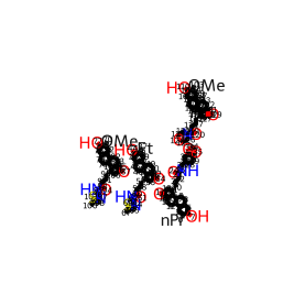 CCCc1cc2c(cc1O)CCC1C2CC[C@]2(C)C(=O)C[C@@H](CCCC(=O)NCc3ccc4c(c3)OCO4)C12.CCc1cc2c(cc1O)CCC1C2CC[C@]2(C)C(=O)C[C@@H](CCCC(=O)Nc3ncc(C)s3)C12.COc1cc2c(cc1O)CCC1C2CC[C@]2(C)C(=O)C[C@@H](CCCC(=O)Nc3ncc(C)s3)C12.COc1cc2c(cc1O)CC[C@H]1[C@@H]3[C@H](CCCC(=O)N4CCOCC4)CC(=O)[C@@]3(C)CC[C@H]21